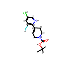 CC(C)(C)OC(=O)N1CC=C(c2ncc(Cl)cc2F)CC1